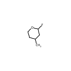 CC1CCOC(F)C1